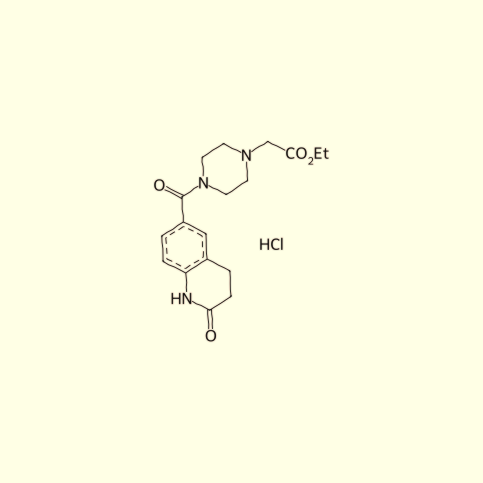 CCOC(=O)CN1CCN(C(=O)c2ccc3c(c2)CCC(=O)N3)CC1.Cl